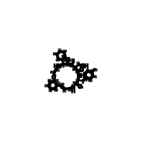 Cc1ccc(C[C@H]2NC(=O)[C@H](CO)N(C)C(=O)[C@H](C3CCCCC3)NCCOc3ccccc3/C=C/CNC2=O)cc1